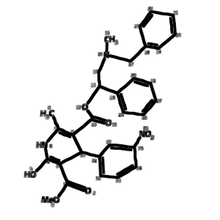 COC(=O)C1=C(O)NC(C)=C(C(=O)OC(CN(C)Cc2ccccc2)c2ccccc2)C1c1cccc([N+](=O)[O-])c1